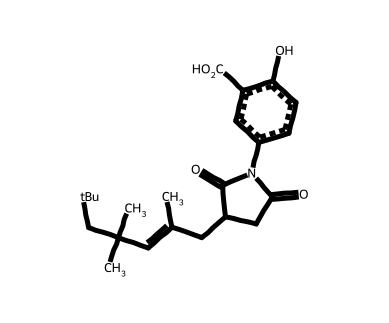 C/C(=C\C(C)(C)CC(C)(C)C)CC1CC(=O)N(c2ccc(O)c(C(=O)O)c2)C1=O